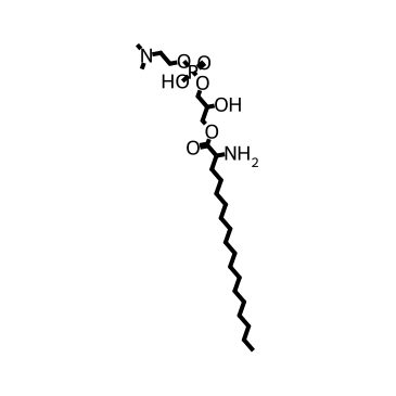 CCCCCCCCCCCCCCCCC(N)C(=O)OCC(O)COP(=O)(O)OCCN(C)C